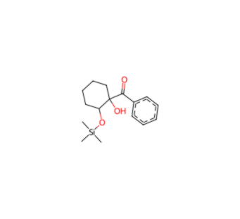 C[Si](C)(C)OC1CCCCC1(O)C(=O)c1ccccc1